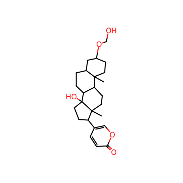 CC12CCC(OCO)CC1CCC1C2CCC2(C)C(c3ccc(=O)oc3)CCC12O